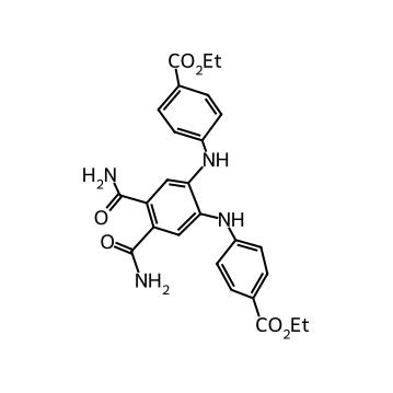 CCOC(=O)c1ccc(Nc2cc(C(N)=O)c(C(N)=O)cc2Nc2ccc(C(=O)OCC)cc2)cc1